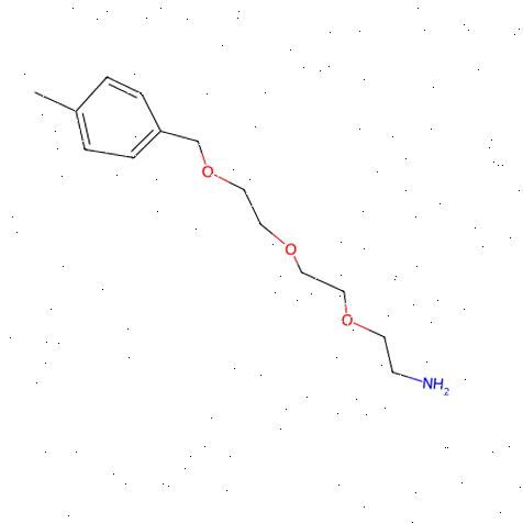 Cc1ccc(COCCOCCOCCN)cc1